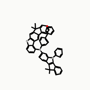 CC1(C)c2ccccc2-c2cc3c(cc21)oc1cccc(N(c2ccc(-c4ccccc4)cc2)c2ccc4c5c(n(-c6ccccc6)c4c2)-c2ccccc2C5(C)C)c13